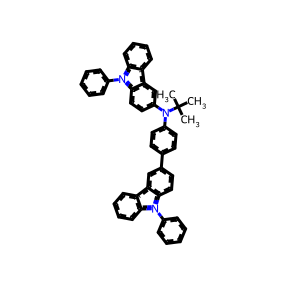 CC(C)(C)N(c1ccc(-c2ccc3c(c2)c2ccccc2n3-c2ccccc2)cc1)c1ccc2c(c1)c1ccccc1n2-c1ccccc1